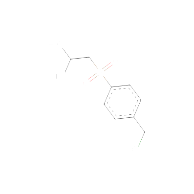 CC(C)CS(=O)(=O)c1ccc(CCl)cc1